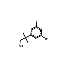 CC(C)(CO)c1cc(Cl)cc(Br)c1